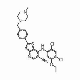 CCOc1cc(Nc2c(C#N)cnc3cc(-c4ccc(CN5CCN(C)CC5)cc4)sc23)c(Cl)cc1Cl